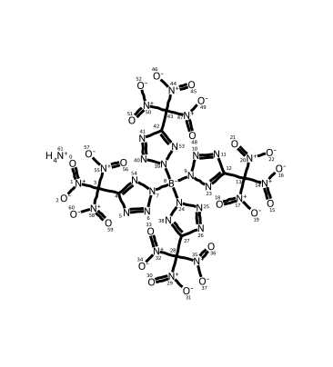 O=[N+]([O-])C(c1nnn([B-](n2nnc(C([N+](=O)[O-])([N+](=O)[O-])[N+](=O)[O-])n2)(n2nnc(C([N+](=O)[O-])([N+](=O)[O-])[N+](=O)[O-])n2)n2nnc(C([N+](=O)[O-])([N+](=O)[O-])[N+](=O)[O-])n2)n1)([N+](=O)[O-])[N+](=O)[O-].[NH4+]